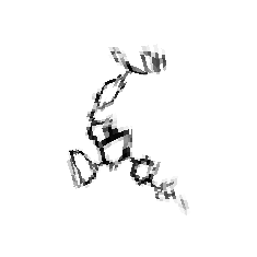 CNc1ccc(-c2nc(N3CCOCC3)c3cc(CN4CCN(C(=O)CO)CC4)sc3n2)cn1